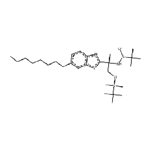 CCCCCCCCc1ccc2nc(C(C)(CO[Si](C)(C)C(C)(C)C)N[S+]([O-])C(C)(C)C)sc2c1